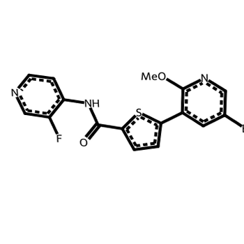 COc1ncc(Br)cc1-c1ccc(C(=O)Nc2ccncc2F)s1